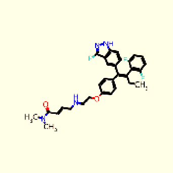 CCC(=C(c1ccc(OCCNCC=CC(=O)N(C)C)cc1)c1ccc2[nH]nc(F)c2c1)c1c(F)cccc1F